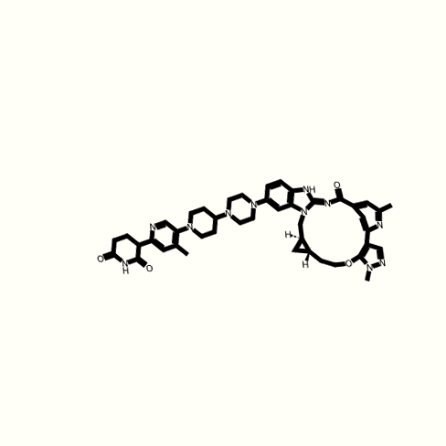 Cc1cc2cc(n1)-c1cnn(C)c1OCC[C@@H]1C[C@H]1CN1/C(=N/C2=O)Nc2ccc(N3CCN(C4CCN(c5cnc(C6CCC(=O)NC6=O)cc5C)CC4)CC3)cc21